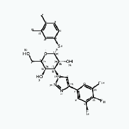 Cc1ccc(S[C@H]2O[C@H](CO)[C@H](O)[C@H](n3cc(-c4cc(F)c(F)c(F)c4)nn3)[C@H]2O)cc1C